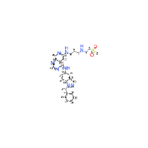 CS(=O)(=O)CCNCCCNc1cc2c(Nc3ccc4c(cnn4Cc4ccccc4)c3)ncnc2cn1